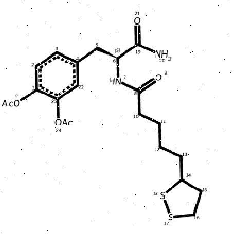 CC(=O)Oc1ccc(C[C@H](NC(=O)CCCCC2CCSS2)C(N)=O)cc1OC(C)=O